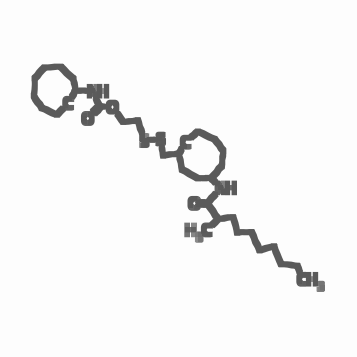 CCCCCCCCC(C)C(=O)NC1CCCCCC(CSSCCOC(=O)NC2CCCCCCCC2)CC1